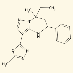 CCC1(C)CC(c2ccccc2)Nc2c(-c3nnc(C)o3)cnn21